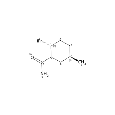 CC(C)[C@@H]1CC[C@@H](C)CC1C(N)=O